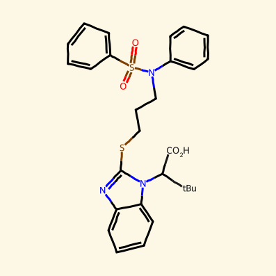 CC(C)(C)C(C(=O)O)n1c(SCCCN(c2ccccc2)S(=O)(=O)c2ccccc2)nc2ccccc21